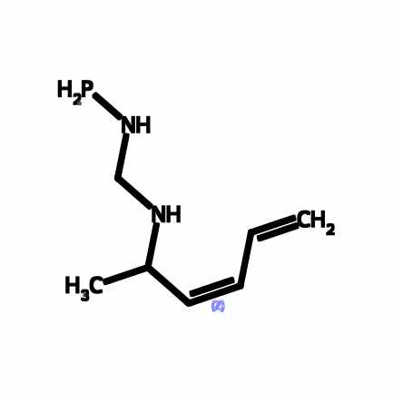 C=C/C=C\C(C)NCNP